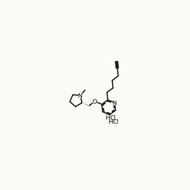 C#CCCCCc1ncccc1OC[C@@H]1CCCN1C.Cl.Cl